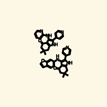 CC1(C)CC(=O)c2c([nH]c(-c3ccncc3)c2Nc2ccc3ccoc3c2)C1.CC1(C)CC(=O)c2c([nH]c(-c3ccncc3)c2Nc2ccccn2)C1